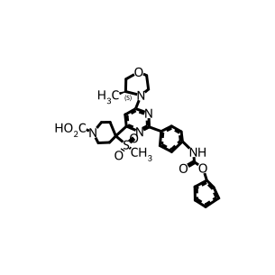 C[C@H]1COCCN1c1cc(C2(S(C)(=O)=O)CCN(C(=O)O)CC2)nc(-c2ccc(NC(=O)Oc3ccccc3)cc2)n1